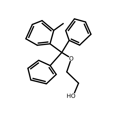 Cc1ccccc1C(OCCO)(c1ccccc1)c1ccccc1